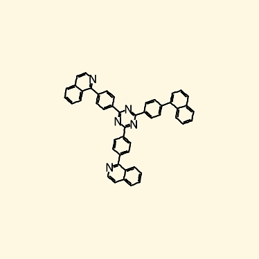 c1ccc2c(-c3ccc(-c4nc(-c5ccc(-c6nccc7ccccc67)cc5)nc(-c5ccc(-c6nccc7ccccc67)cc5)n4)cc3)cccc2c1